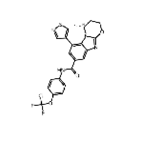 C[C@@H]1CCOc2nc3cc(C(=O)Nc4ccc(OC(F)(F)Cl)cc4)cc(-c4cnsc4)c3n21